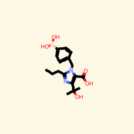 CCCc1nc(C(C)(C)O)c(C(=O)O)n1Cc1ccc(B(O)O)cc1